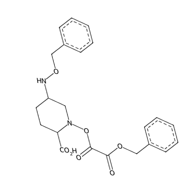 O=C(OCc1ccccc1)C(=O)ON1CC(NOCc2ccccc2)CCC1C(=O)O